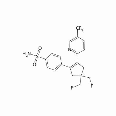 NS(=O)(=O)c1ccc(C2=C(c3ccc(C(F)(F)F)cn3)CC(CF)(CF)C2)cc1